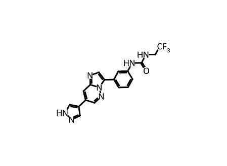 O=C(NCC(F)(F)F)Nc1cccc(-c2cnc3cc(-c4cn[nH]c4)cnn23)c1